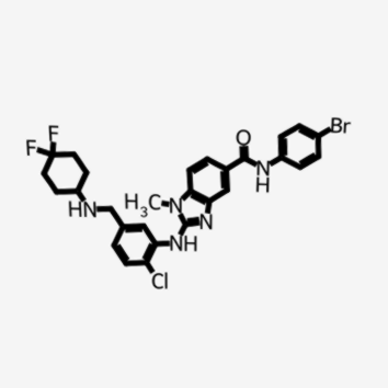 Cn1c(Nc2cc(CNC3CCC(F)(F)CC3)ccc2Cl)nc2cc(C(=O)Nc3ccc(Br)cc3)ccc21